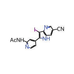 CC(=O)Nc1cc(-c2[nH]c3cc(C#N)cnc3c2I)ccn1